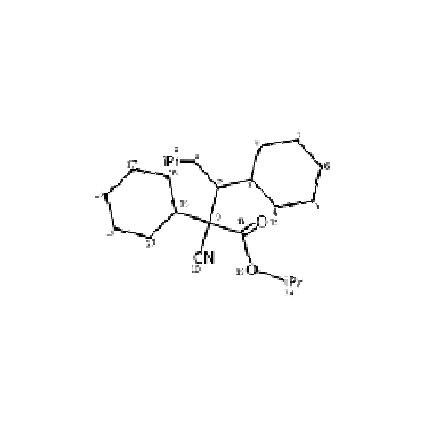 CC(C)CC(C1CCCCC1)C(C#N)(C(=O)OC(C)C)C1CCCCC1